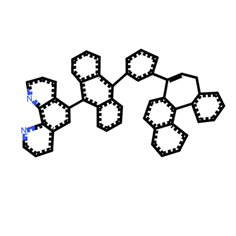 C1=C(c2cccc(-c3c4ccccc4c(-c4cc5cccnc5c5ncccc45)c4ccccc34)c2)c2ccc3ccccc3c2-c2ccccc2C1